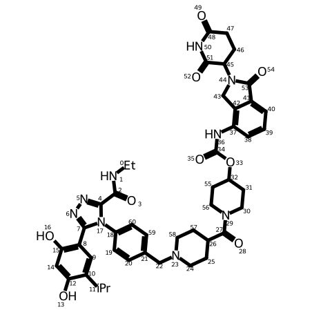 CCNC(=O)c1nnc(-c2cc(C(C)C)c(O)cc2O)n1-c1ccc(CN2CCC(C(=O)N3CCC(OC(=O)Nc4cccc5c4CN(C4CCC(=O)NC4=O)C5=O)CC3)CC2)cc1